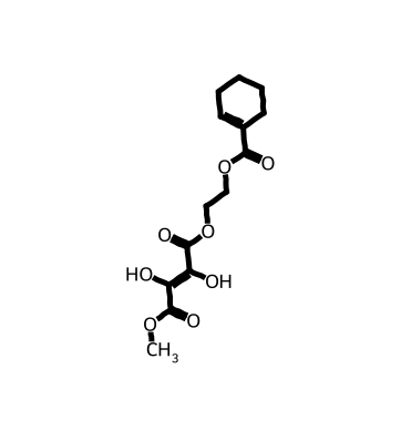 COC(=O)/C(O)=C(\O)C(=O)OCCOC(=O)C1=CCCCC1